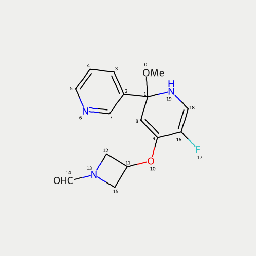 COC1(c2cccnc2)C=C(OC2CN(C=O)C2)C(F)=CN1